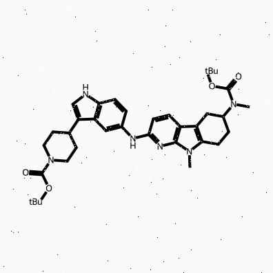 CN(C(=O)OC(C)(C)C)C1CCc2c(c3ccc(Nc4ccc5[nH]cc(C6CCN(C(=O)OC(C)(C)C)CC6)c5c4)nc3n2C)C1